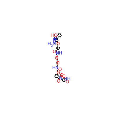 Nc1nnc(-c2ccccc2O)cc1OCC12CC(C1)C(C(=O)NCCOCCOCCNC(=O)COc1cccc3c1C(=O)N(C1CCC(=O)NC1=O)C3=O)C2